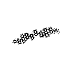 C[Si](C)(C)c1ccc(-c2c3ccccc3c(-c3ccc(-c4ccc(-c5ccc(-c6ccc(-c7c8ccccc8c(-c8ccc(-c9ccccc9)c9ccccc89)c8ccccc78)c7ccccc67)c6ccccc56)c5ccccc45)c4ccccc34)c3ccccc23)c2ccccc12